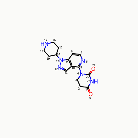 O=C1CCN(c2nccc3c2cnn3C2CCNCC2)C(=O)N1